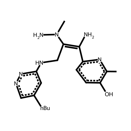 CCCCc1cnnc(NC/C(=C(/N)c2ccc(O)c(C)n2)N(C)N)c1